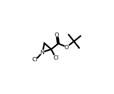 CC(C)(C)OC(=O)C1(Cl)CN1Cl